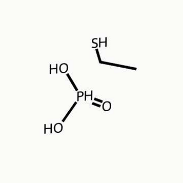 CCS.O=[PH](O)O